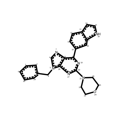 c1ccc(Cn2cnc3c(-c4ccc5cc[nH]c5c4)nc(N4CCOCC4)nc32)cc1